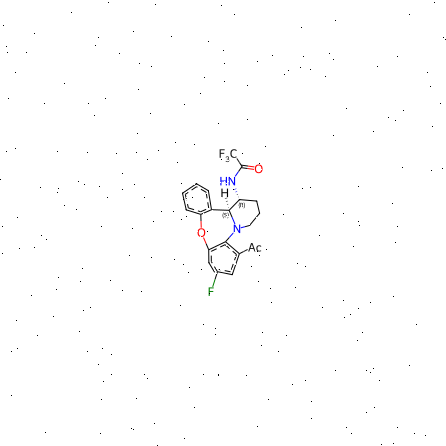 CC(=O)c1cc(F)cc2c1N1CCC[C@@H](NC(=O)C(F)(F)F)[C@@H]1c1ccccc1O2